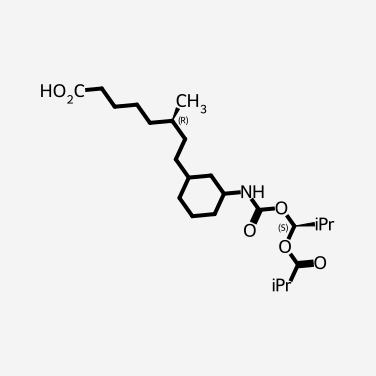 CC(C)C(=O)O[C@@H](OC(=O)NC1CCCC(CC[C@H](C)CCCCC(=O)O)C1)C(C)C